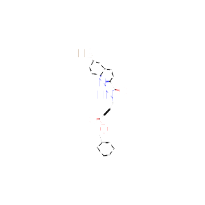 O=C(C#CCNC(=O)c1ccc2cc(S)ccc2n1)OCc1ccccc1